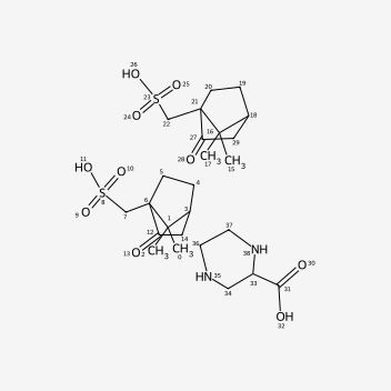 CC1(C)C2CCC1(CS(=O)(=O)O)C(=O)C2.CC1(C)C2CCC1(CS(=O)(=O)O)C(=O)C2.O=C(O)C1CNCCN1